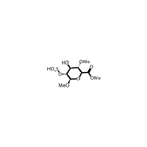 COC(=O)C1O[C@@H](OC)[C@@H](OS(=O)(=O)O)C(O)[C@@H]1OC